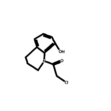 O=C(CCl)N1CCCc2cccc(O)c21